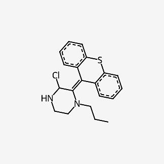 CCCN1CCNC(Cl)C1=C1c2ccccc2Sc2ccccc21